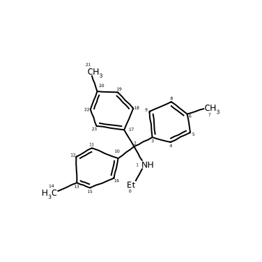 CCNC(c1ccc(C)cc1)(c1ccc(C)cc1)c1ccc(C)cc1